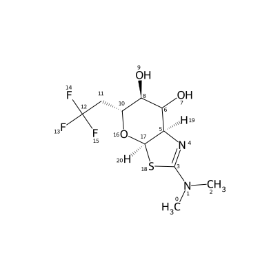 CN(C)C1=N[C@@H]2C(O)[C@H](O)[C@@H](CC(F)(F)F)O[C@@H]2S1